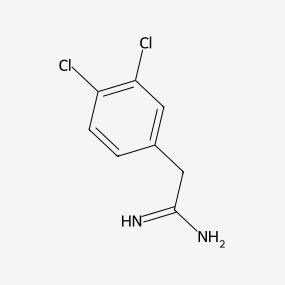 N=C(N)Cc1ccc(Cl)c(Cl)c1